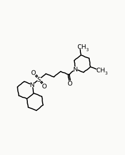 CC1CC(C)CN(C(=O)CCCS(=O)(=O)N2CCCC3CCCCC32)C1